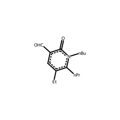 CCCCn1c(CCC)c(CC)cc(C=O)c1=O